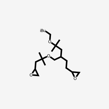 CCC(C)COC(C)(C)CC(CCC1CO1)COC(C)(C)CC1CO1